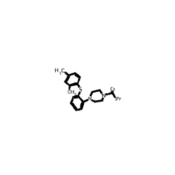 Cc1ccc(Sc2ccccc2N2CCN(C(=O)C(C)C)CC2)c(C)c1